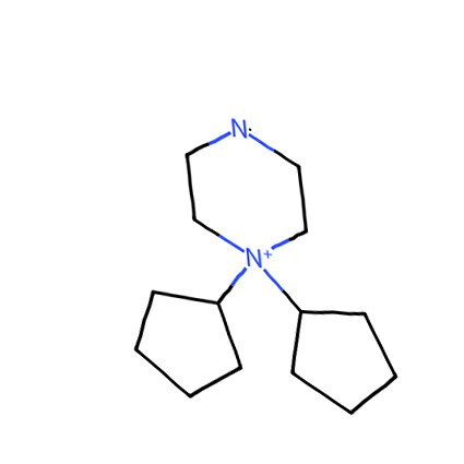 C1CCC([N+]2(C3CCCC3)CC[N]CC2)C1